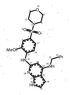 COc1cc(S(=O)(=O)N2CCOCC2)ccc1Nc1cc(NCC(C)C)c2cc[nH]c2n1